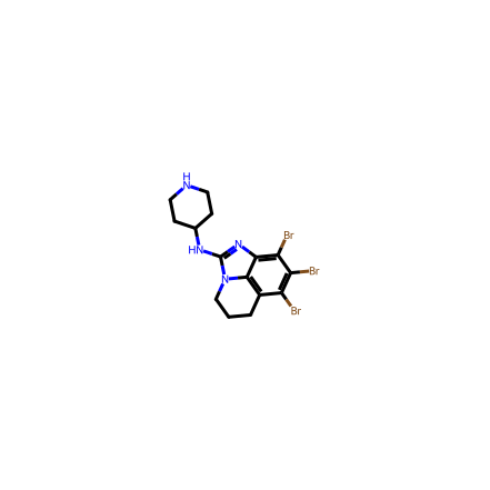 Brc1c(Br)c2c3c(nc(NC4CCNCC4)n3CCC2)c1Br